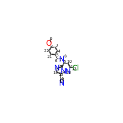 COc1ccc(CN(C)c2cc(Cl)nn3c(C#N)cnc23)cc1